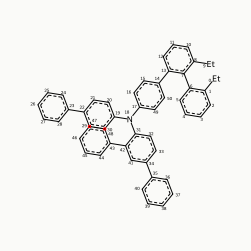 CCc1ccccc1-c1c(CC)cccc1-c1ccc(N(c2ccc(-c3ccccc3)cc2)c2ccc(-c3ccccc3)cc2-c2ccccc2)cc1